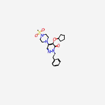 CS(=O)(=O)N1CCN(c2cnn(CCc3ccccc3)c(=O)c2OC2CCCC2)CC1